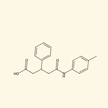 Cc1ccc(NC(=O)CC(CC(=O)O)c2ccccc2)cc1